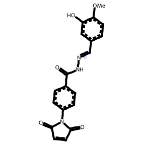 COc1ccc(/C=N/NC(=O)c2ccc(N3C(=O)C=CC3=O)cc2)cc1O